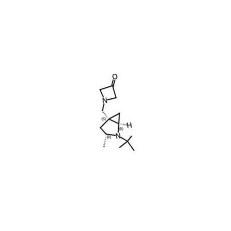 C[C@@H]1C[C@@]2(CN3CC(=O)C3)C[C@H]2N1C(C)(C)C